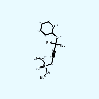 CCOP(=O)(CC#CC(CC)(CC)OC1CCCCO1)OCC